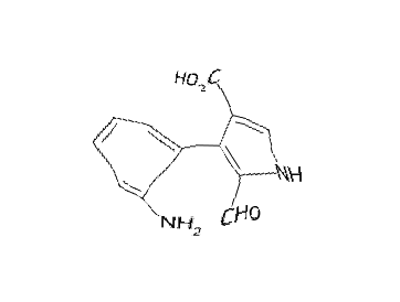 Nc1ccccc1-c1c(C(=O)O)c[nH]c1C=O